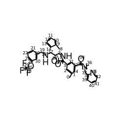 Cc1cc(C(=O)N[C@@H](Cc2ccccc2)[C@H](O)CNCc2cccc(OC(F)(F)F)c2)cc(C(=O)N(C)Cc2ccccn2)c1